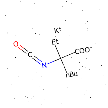 CCCCC(CC)(N=C=O)C(=O)[O-].[K+]